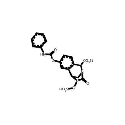 CCOC(=O)C1c2ccc(OC(=O)Nc3ccccc3)cc2C2CN1C(=O)N2OS(=O)(=O)O